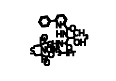 CC(C)C[C@H](NC(=O)C(NC(=O)c1cccc(-c2ccccc2)n1)[C@@H](C)O)B1OC(=O)[C@@H]2CSC[C@@H](C(=O)O1)N2C